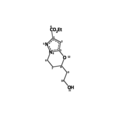 CCOC(=O)c1cc2n(n1)CCC(CCO)O2